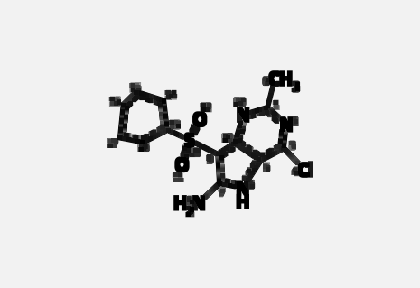 Cc1nc(Cl)c2[nH]c(N)c(S(=O)(=O)c3ccccc3)c2n1